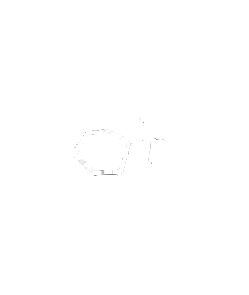 O=[N+]([O-])S(Cl)(c1ccccc1)[N+](=O)[O-]